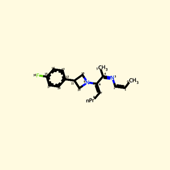 C\C=C/N=C(C)\C(=C\CCC)N1CC(c2ccc(F)cc2)C1